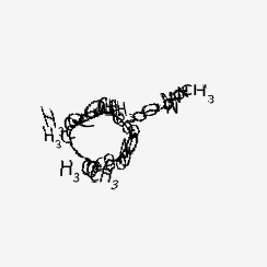 COC1CC2CCCC(O2)C(=O)C(=O)N2CCCCC2C(=O)OC(CCC2CCC(OCc3cnc(N4CCN(C)CC4)nc3)CC2)CCC(C)/C=C(\C)C(O)CC(=O)C(C)CC(C)/C=C/C=C/C=C/1C